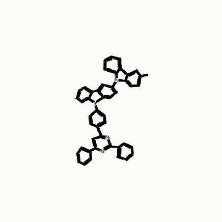 Cc1ccc2c(c1)c1ccccc1n2-c1ccc2c(c1)c1ccccc1n2-c1ccc(-c2cc(-c3ccccc3)nc(-c3ccccc3)n2)cc1